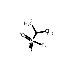 [CH2]C(C)S(=O)(=O)F